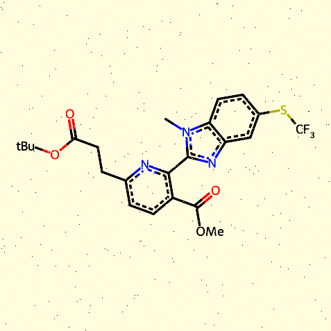 COC(=O)c1ccc(CCC(=O)OC(C)(C)C)nc1-c1nc2cc(SC(F)(F)F)ccc2n1C